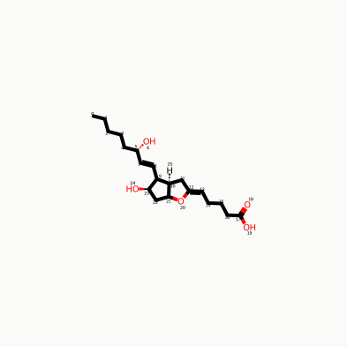 CCCCC[C@H](O)/C=C/C1[C@H]2C/C(=C/CCCC(=O)O)OC2C[C@H]1O